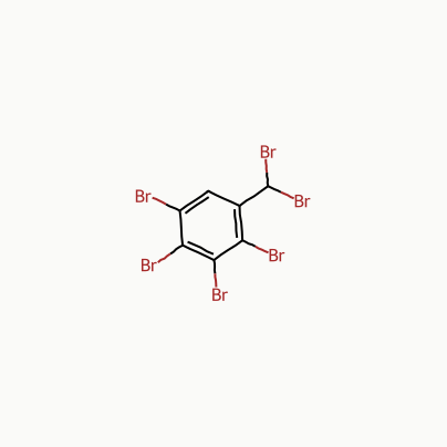 Brc1cc(C(Br)Br)c(Br)c(Br)c1Br